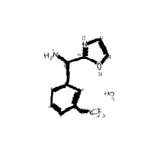 Cl.NC(c1cccc(C(F)(F)F)c1)c1ncco1